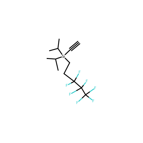 C#C[Si](CCC(F)(F)C(F)(F)C(F)(F)F)(C(C)C)C(C)C